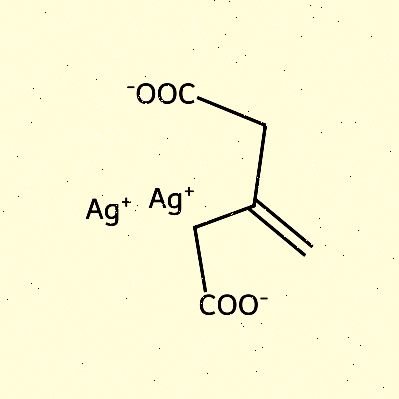 C=C(CC(=O)[O-])CC(=O)[O-].[Ag+].[Ag+]